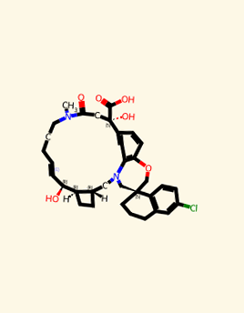 CN1CCC/C=C/[C@H](O)[C@@H]2CC[C@H]2CN2C[C@@]3(CCCc4cc(Cl)ccc43)COc3ccc(cc32)[C@](O)(C(=O)O)CC1=O